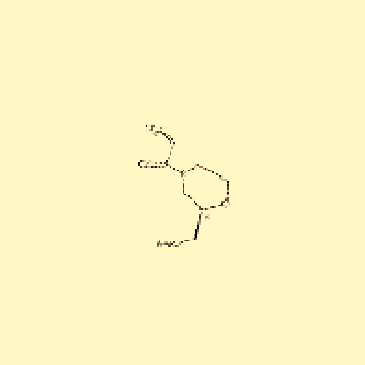 C=CC(=O)N1CCO[C@@H](COC)C1